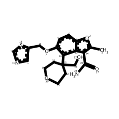 Cc1oc2ccc(OCc3cncs3)c(C3(CO)CCOCC3)c2c1C(N)=O